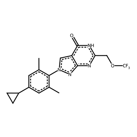 Cc1cc(C2CC2)cc(C)c1-n1cc2c(=O)[nH]c(COC(F)(F)F)nc2n1